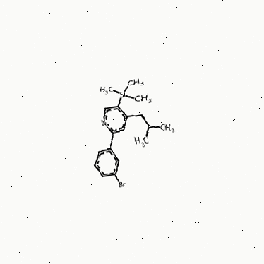 CC(C)Cc1cc(-c2cccc(Br)c2)ncc1[Si](C)(C)C